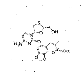 CCCCCCCC[S+]([O-])C(C)Cc1ccc2c(c1)OCO2.Nc1ccn([C@H]2CS[C@@H](CO)O2)c(=O)n1